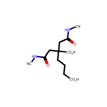 N#CNC(=O)CC(CCCC(=O)O)(CC(=O)NC#N)C(=O)O